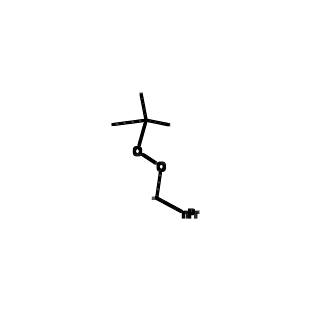 CCC[CH]OOC(C)(C)C